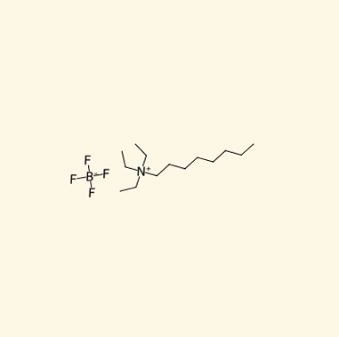 CCCCCCCC[N+](CC)(CC)CC.F[B-](F)(F)F